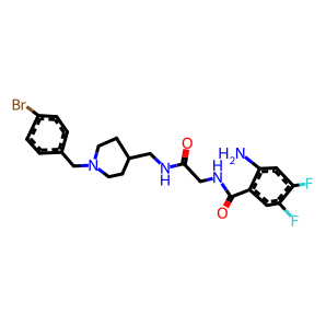 Nc1cc(F)c(F)cc1C(=O)NCC(=O)NCC1CCN(Cc2ccc(Br)cc2)CC1